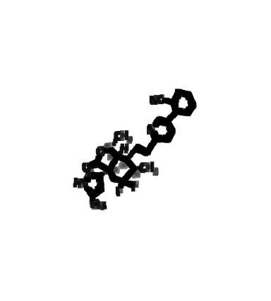 C[C@H]1OC(=O)[C@]2(c3cc(C(C)(C)C)[nH]n3)CC(F)(F)[C@@H](C)[C@H](C=Cc3ccc(-c4ccccc4C#N)cn3)[C@H]12